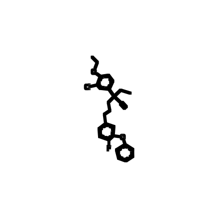 C#CC(CC)(CCCc1ccc(F)c(Oc2ccccc2)c1)c1ccc(OCC)c(Cl)c1